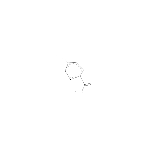 CC(=O)OC(=O)c1ccc(OC(C)=O)cc1